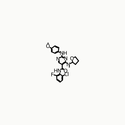 COc1ccc(Nc2ncc(C(=O)Nc3c(F)cccc3Cl)c(N(C)C3CCCO3)n2)cc1